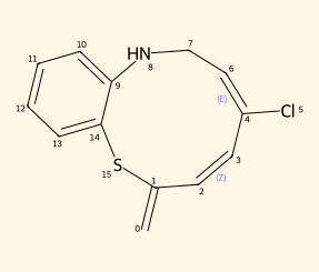 C=C1/C=C\C(Cl)=C/CNc2ccccc2S1